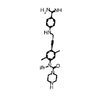 Cc1cc(N(C(=O)N2CCNCC2)C(C)C)c(C)cc1C#CCNc1ccc(C(=N)N)cc1